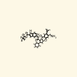 NCc1cc(Cl)c(C(=O)N2CC[C@@H](C3CCCCC3)[C@H]2C(=O)Nc2ccc3[nH]c(C(=O)OC(=O)C(F)(F)F)cc3c2)cc1C1CC1